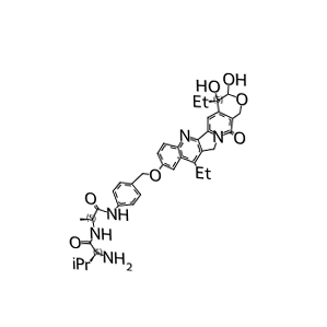 CCc1c2c(nc3ccc(OCc4ccc(NC(=O)[C@H](C)NC(=O)[C@@H](N)C(C)C)cc4)cc13)-c1cc3c(c(=O)n1C2)COC(O)[C@]3(O)CC